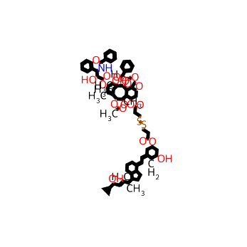 C=C1/C(=C\C=C2/CCC[C@@]3(C)C2CCC3[C@@H](C)/C=C/C(O)C2CC2)C[C@@H](OC(=O)CCSSCCC(=O)OC2CC3OCC3(OC(C)=O)C3C(OC(=O)c4ccccc4)C4(O)CC(OC(=O)C(O)C(NC(=O)c5ccccc5)c5ccccc5)C(C)=C(C(OC(C)=O)C(=O)C23C)C4(C)C)C[C@@H]1O